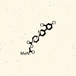 CNC(=O)COC(=O)N1CCN(c2ccc(-c3ccc(Cl)cc3Cl)cn2)CC1